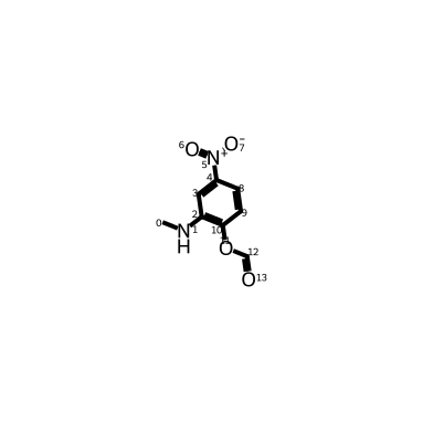 CNc1cc([N+](=O)[O-])ccc1OC=O